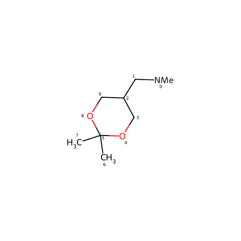 CNCC1COC(C)(C)OC1